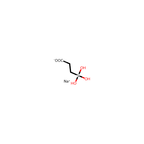 O=C([O-])CC[Si](O)(O)O.[Na+]